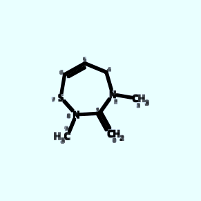 C=C1N(C)CC=CSN1C